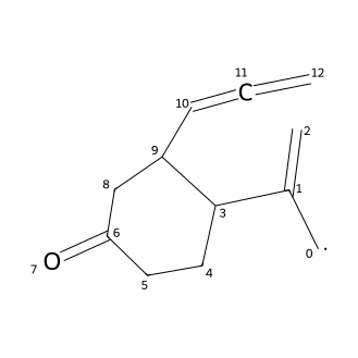 [CH2]C(=C)C1CCC(=O)CC1C=C=C